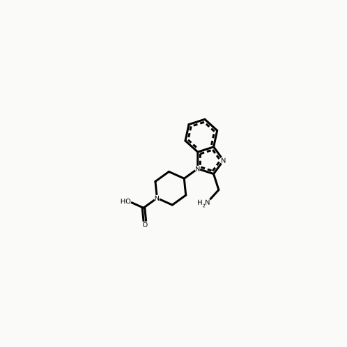 NCc1nc2ccccc2n1C1CCN(C(=O)O)CC1